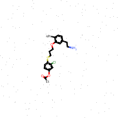 CCCc1ccc(CCN)cc1OCCCSc1ccc(OC(=O)CC)cc1Cl